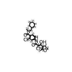 Cc1oncc1C(O)=C(C#N)C(=O)Nc1ccc(C(=O)N(C)CC2CCCCC2)c(Cl)c1